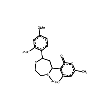 COc1ccc(C2CC(c3c(O)cc(C)oc3=O)N(C(C)=O)CCS2)c(OC)c1